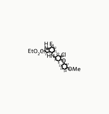 CCOC(=O)c1cc2c(Nc3ccc(Oc4cccc(OC)c4)c(Cl)c3)ccc(F)c2[nH]1